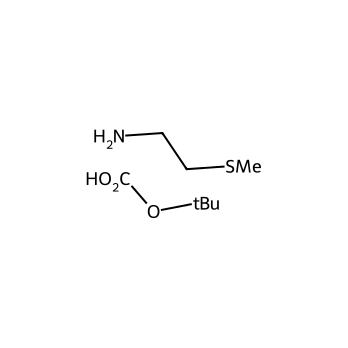 CC(C)(C)OC(=O)O.CSCCN